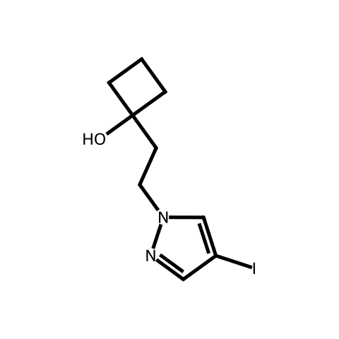 OC1(CCn2cc(I)cn2)CCC1